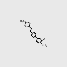 Cc1ccc(-c2ccc(CCC3CCC(C)CC3)cc2)cc1F